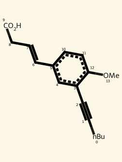 CCCCC#Cc1cc(C=CCC(=O)O)ccc1OC